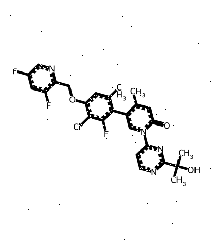 Cc1cc(=O)n(-c2ccnc(C(C)(C)O)n2)cc1-c1c(C)cc(OCc2ncc(F)cc2F)c(Cl)c1F